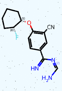 N#Cc1cc(C(=N)/N=C\N)ccc1O[C@H]1CCCC[C@H]1F